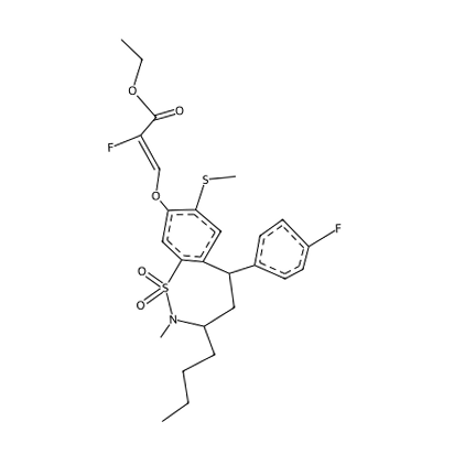 CCCCC1CC(c2ccc(F)cc2)c2cc(SC)c(O/C=C(\F)C(=O)OCC)cc2S(=O)(=O)N1C